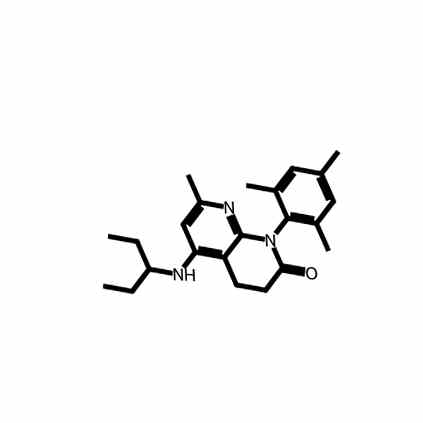 CCC(CC)Nc1cc(C)nc2c1CCC(=O)N2c1c(C)cc(C)cc1C